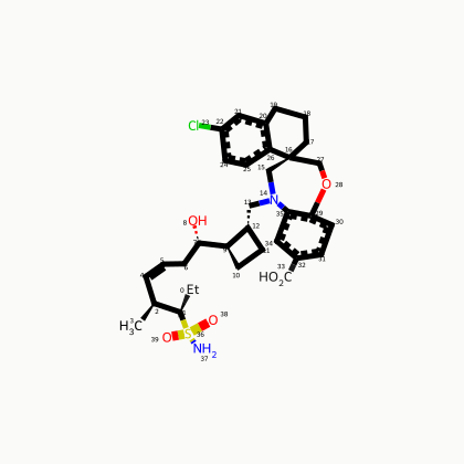 CC[C@H]([C@@H](C)/C=C\C[C@H](O)[C@@H]1CC[C@H]1CN1C[C@@]2(CCCc3cc(Cl)ccc32)COc2ccc(C(=O)O)cc21)S(N)(=O)=O